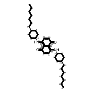 CCCCCCC[C@H]1CC[C@H](NC2=C3C(=O)C=CC(N[C@H]4CC[C@H](CCCCCCC)CC4)=C3C(=O)C=C2)CC1